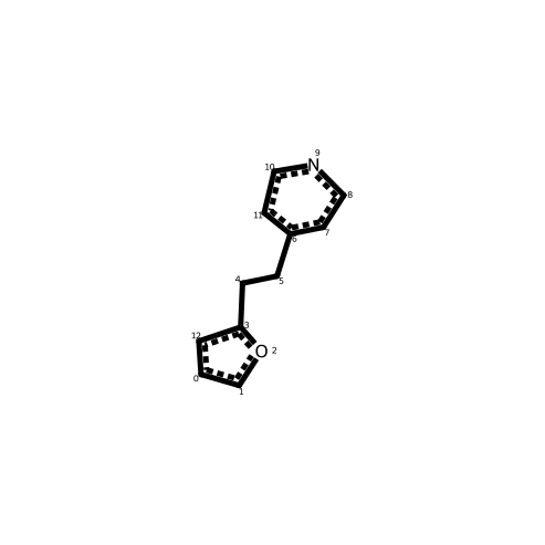 c1coc(CCc2ccncc2)c1